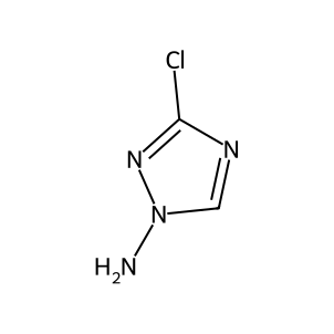 Nn1cnc(Cl)n1